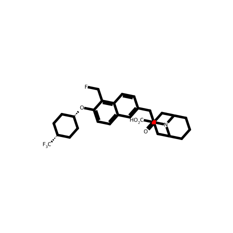 O=C(O)C1CC2CCCC(C1)N2C(=O)Cc1ccc2c(CF)c(O[C@H]3CC[C@@H](C(F)(F)F)CC3)ccc2c1